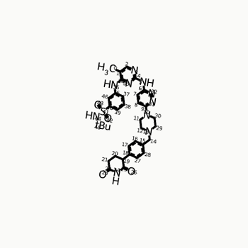 Cc1cnc(Nc2ccc(N3CCN(Cc4ccc(C5CCC(=O)NC5=O)cc4)CC3)nn2)nc1Nc1cccc(S(=O)(=O)NC(C)(C)C)c1